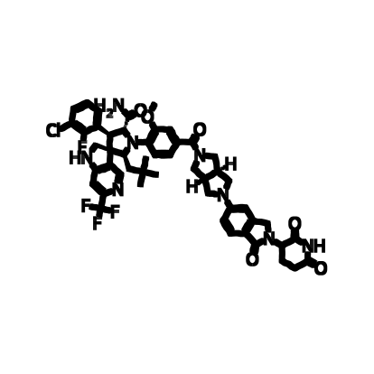 COc1cc(C(=O)N2C[C@H]3CN(c4ccc5c(c4)CN(C4CCC(=O)NC4=O)C5=O)C[C@@H]3C2)ccc1N1[C@@H](CC(C)(C)C)[C@@]2(CNc3cc(C(F)(F)F)ncc32)[C@@H](c2cccc(Cl)c2F)[C@@H]1C(N)=O